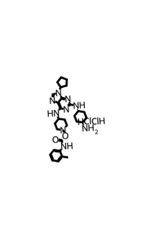 Cc1ccccc1NC(=O)ON1CCC(Nc2nc(N[C@H]3CC[C@H](N)CC3)nc3c2ncn3C2CCCC2)CC1.Cl.Cl